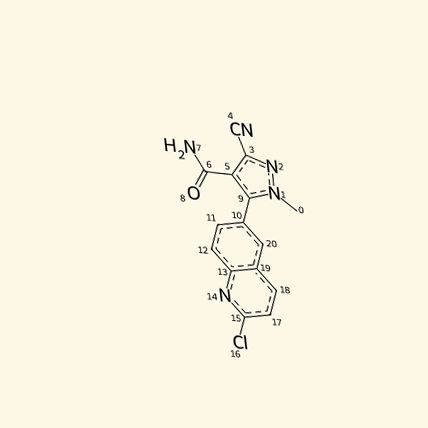 Cn1nc(C#N)c(C(N)=O)c1-c1ccc2nc(Cl)ccc2c1